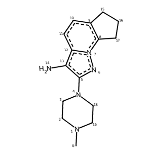 CN1CCN(c2nn3c4c(ccc3c2N)CCC4)CC1